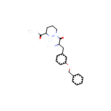 COC(=O)C1CCCN(C(=O)C(N)Cc2cccc(OCc3ccccc3)c2)N1